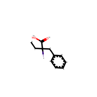 CCC(I)(Cc1ccccc1)C(=O)O